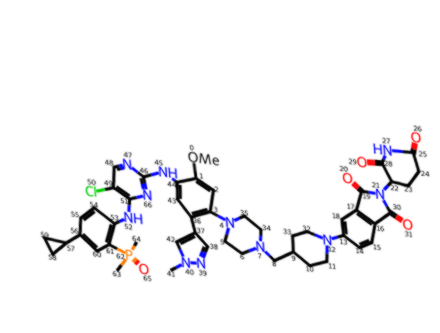 COc1cc(N2CCN(CC3CCN(c4ccc5c(c4)C(=O)N(C4CCC(=O)NC4=O)C5=O)CC3)CC2)c(-c2cnn(C)c2)cc1Nc1ncc(Cl)c(Nc2ccc(C3CC3)cc2P(C)(C)=O)n1